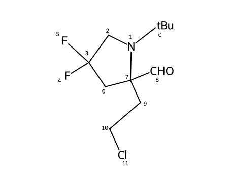 CC(C)(C)N1CC(F)(F)CC1(C=O)CCCl